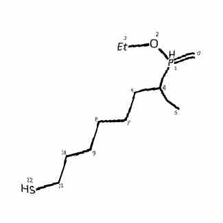 C=[PH](OCC)C(C)CCCCCCS